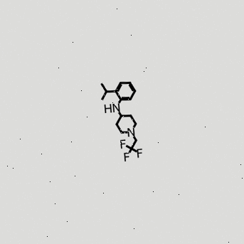 CC(C)c1ccccc1NC1CCN(CC(F)(F)F)CC1